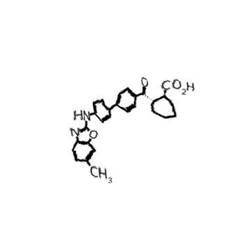 Cc1ccc2nc(Nc3ccc(-c4ccc(C(=O)[C@H]5CCCC[C@@H]5C(=O)O)cc4)cc3)oc2c1